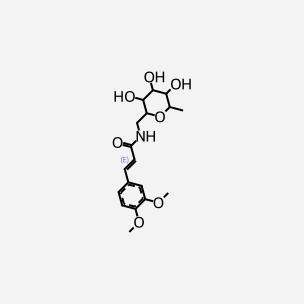 COc1ccc(/C=C/C(=O)NCC2OC(C)C(O)C(O)C2O)cc1OC